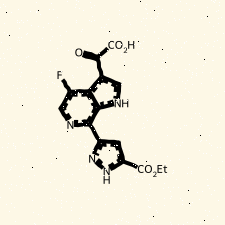 CCOC(=O)c1cc(-c2ncc(F)c3c(C(=O)C(=O)O)c[nH]c23)n[nH]1